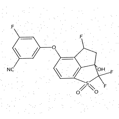 N#Cc1cc(F)cc(Oc2ccc3c4c2C(F)CC4(O)C(F)(F)S3(=O)=O)c1